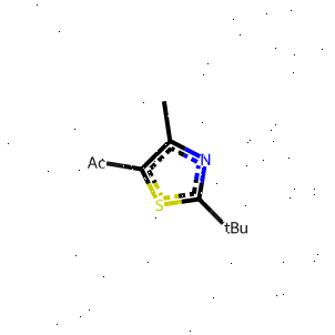 CC(=O)c1sc(C(C)(C)C)nc1C